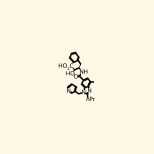 CCCc1nc2c(C)cc(C(=O)N[C@H](Cc3ccccc3)[C@@H](O)C(=O)O)cc2n1Cc1cccnc1